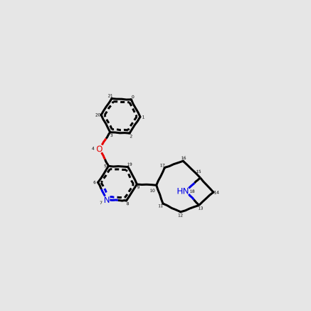 c1ccc(Oc2cncc(C3CCC4CC(CC3)N4)c2)cc1